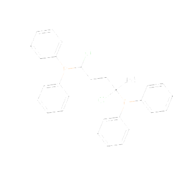 ClC(CC[C](Cl)([Pd])P(c1ccccc1)c1ccccc1)P(c1ccccc1)c1ccccc1